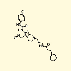 O=NCc1c(NC(=O)Nc2ccc(Cl)cc2)sc2c1CCN(CCCNC(=O)CCc1ccccc1)C2